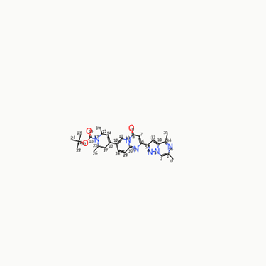 Cc1cn2nc(-c3cc(=O)n4cc(C5=CC(C)N(C(=O)OC(C)(C)C)C(C)C5)ccc4n3)cc2c(C)n1